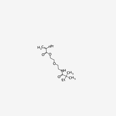 C=C(CCC)C(=O)OCCOCCNC(=O)C(C)(C)CC